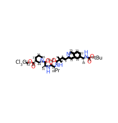 CC(C)[C@H](NC(=O)C(C)(C)/C=C/c1cc2cc([C@@H](C)NC(=O)OC(C)(C)C)ccc2cn1)C(=O)N[C@@H](C)C(=O)N1CCC[C@@H](C(=O)OCC(Cl)(Cl)Cl)C1